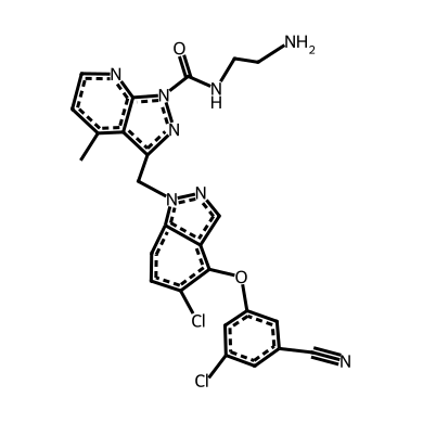 Cc1ccnc2c1c(Cn1ncc3c(Oc4cc(Cl)cc(C#N)c4)c(Cl)ccc31)nn2C(=O)NCCN